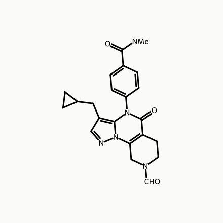 CNC(=O)c1ccc(-n2c(=O)c3c(n4ncc(CC5CC5)c24)CN(C=O)CC3)cc1